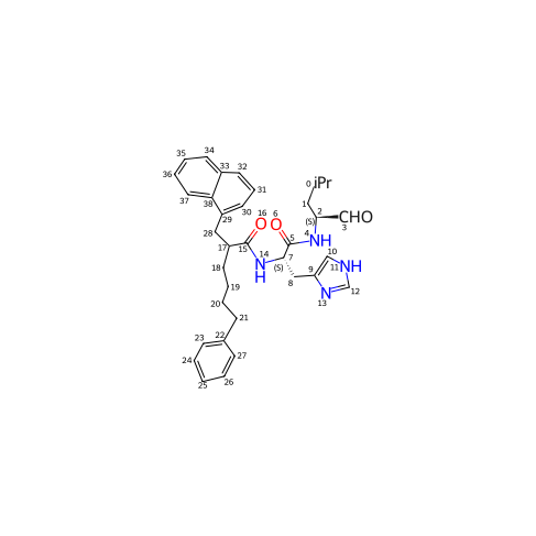 CC(C)C[C@@H](C=O)NC(=O)[C@H](Cc1c[nH]cn1)NC(=O)C(CCCCc1ccccc1)Cc1cccc2ccccc12